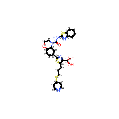 O=C(Nc1nc2ccccc2s1)N1CCOc2ccc(-c3nc(C(O)O)c(CCCSc4ccncc4)s3)cc21